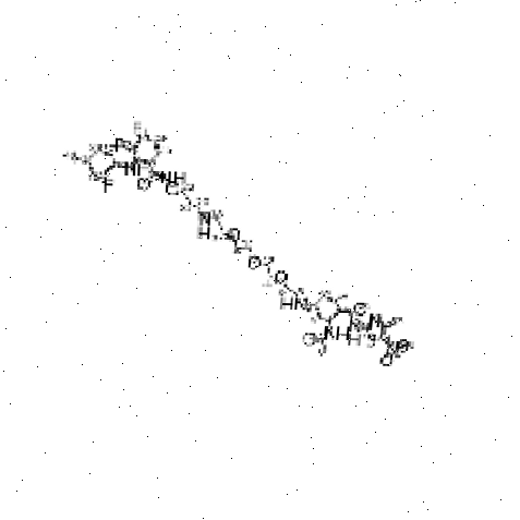 CC(=O)Nc1cc(NCCOCCOCCOCCNCCCONC(=O)c2ccc(F)c(F)c2Nc2ccc(I)cc2F)ccc1C(=O)Nc1nc(C)c([N+](=O)[O-])s1